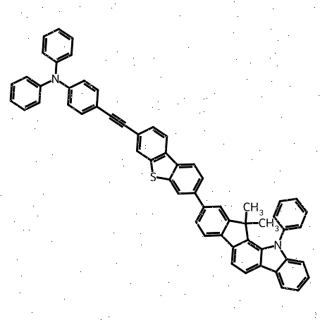 CC1(C)c2cc(-c3ccc4c(c3)sc3cc(C#Cc5ccc(N(c6ccccc6)c6ccccc6)cc5)ccc34)ccc2-c2ccc3c4ccccc4n(-c4ccccc4)c3c21